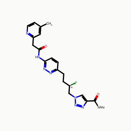 CNC(=O)c1cn(C[C@H](F)CCc2ccc(NC(=O)Cc3cc(C)ccn3)nn2)nn1